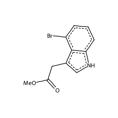 COC(=O)Cc1c[nH]c2cccc(Br)c12